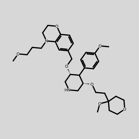 COCCCN1CCOc2ccc(CO[C@H]3CNC[C@@H](OCCC4(OC)CCOCC4)C3c3ccc(OC)cc3)cc21